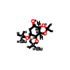 CC1(C)O[C@@H]2C(=O)CC(O[Si](C)(C)C(C)(C)C)C(O[Si](C)(C)C(C)(C)C)[C@@H]2O1